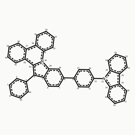 c1ccc(-c2c3ccc(-c4ccc(-n5c6ccccc6c6ccccc65)cc4)cc3n3c4ccccc4c4ccccc4c23)cc1